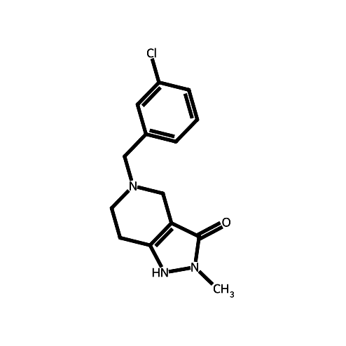 Cn1[nH]c2c(c1=O)CN(Cc1cccc(Cl)c1)CC2